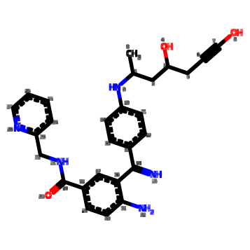 CC(CC(O)CC#CO)Nc1ccc(C(=N)c2cc(C(=O)NCc3ccccn3)ccc2N)cc1